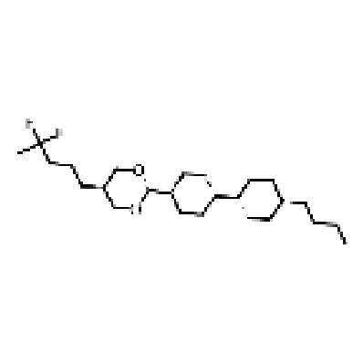 CCCC[C@H]1CC[C@H]([C@H]2CC[C@H]([C@H]3OC[C@H](CCCC(F)(F)F)CO3)CC2)CC1